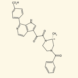 C[C@@H]1CN(C(=O)c2ccccc2)CCN1C(=O)C(=O)c1c[nH]c2c(-c3ccc(C(=O)O)cc3)nccc12